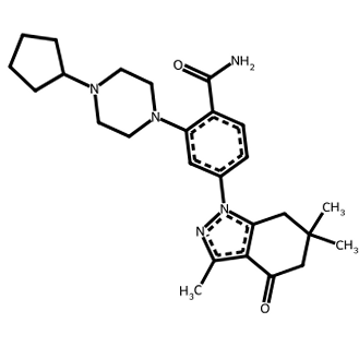 Cc1nn(-c2ccc(C(N)=O)c(N3CCN(C4CCCC4)CC3)c2)c2c1C(=O)CC(C)(C)C2